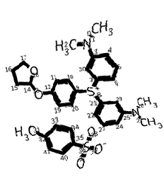 CN(C)c1cccc([S+](c2ccc(OC3CCCO3)cc2)c2cccc(N(C)C)c2)c1.Cc1ccc(S(=O)(=O)[O-])cc1